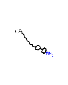 CCCCCCCCCCCC1CCC(c2ccc(N)cc2)CC1